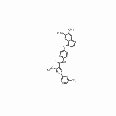 CCOc1cn(-c2cncc(C(F)(F)F)n2)nc1C(=O)Nc1ccc(Oc2ccnc3cc(OC)c(OC)cc23)cn1